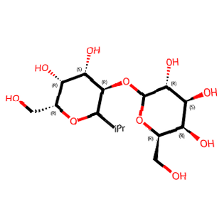 CC(C)C1O[C@H](CO)[C@H](O)[C@H](O)[C@H]1OC1O[C@H](CO)[C@H](O)[C@H](O)[C@H]1O